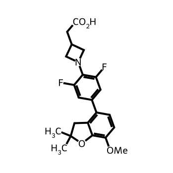 COc1ccc(-c2cc(F)c(N3CC(CC(=O)O)C3)c(F)c2)c2c1OC(C)(C)C2